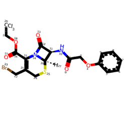 O=C(COc1ccccc1)N[C@@H]1C(=O)N2C(C(=O)OCC(Cl)(Cl)Cl)=C(CBr)CS[C@H]12